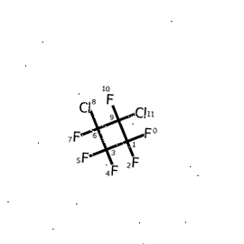 FC1(F)C(F)(F)C(F)(Cl)C1(F)Cl